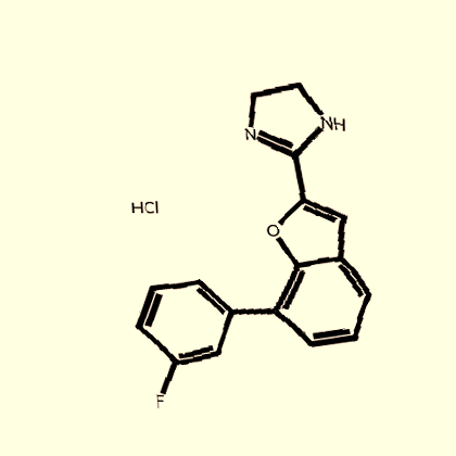 Cl.Fc1cccc(-c2cccc3cc(C4=NCCN4)oc23)c1